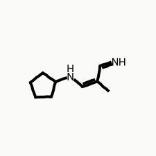 C/C(C=N)=C/NC1CCCC1